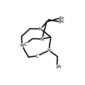 CC(C)CN1CCN2CCN(CC(C)C)C1N(CC(C)C)CC2